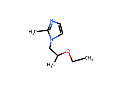 CCOC(C)Cn1ccnc1C